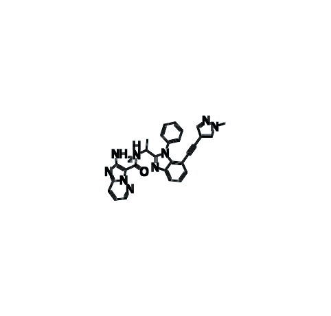 CC(NC(=O)c1c(N)nc2cccnn12)c1nc2cccc(C#Cc3cnn(C)c3)c2n1-c1ccccc1